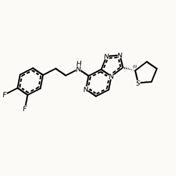 Fc1ccc(CCNc2nccn3c([C@@H]4CCCS4)nnc23)cc1F